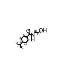 C=C(C)C1CC=C(C(=O)NCCO)CC1